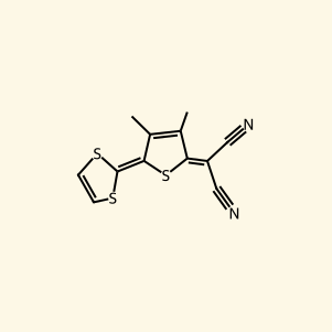 Cc1c(C)c(=C2SC=CS2)sc1=C(C#N)C#N